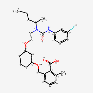 CCCC(C)N(CCOC1CCCC(OCc2cccc(C)c2C(=O)O)C1)C(=O)Nc1cccc(F)c1